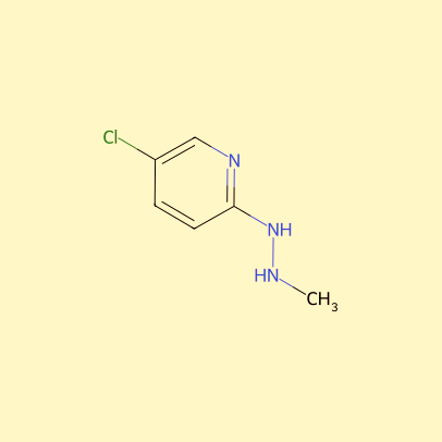 CNNc1ccc(Cl)cn1